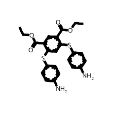 CCOC(=O)c1cc(C(=O)OCC)c(Sc2ccc(N)cc2)cc1Sc1ccc(N)cc1